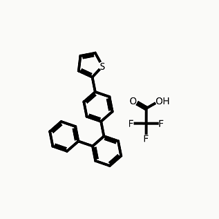 O=C(O)C(F)(F)F.c1ccc(-c2ccccc2-c2ccc(-c3cccs3)cc2)cc1